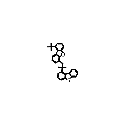 CC(C)(C)c1cccc2oc3c(CC(C)(C)c4cccc5sc6ccccc6c45)cccc3c12